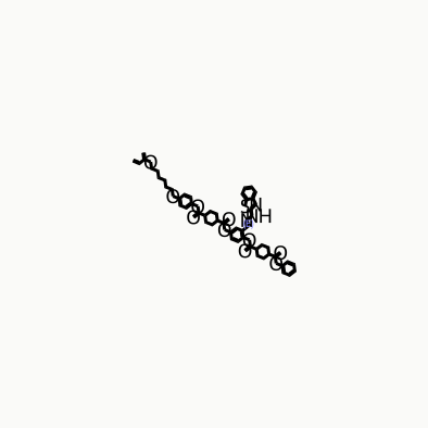 C=CC(=C)OCCCCCCOc1ccc(OC(=O)C2CCC(C(=O)Oc3ccc(OC(=O)C4CCC(C(=O)Oc5ccccc5)CC4)c(/C=N/Nc4nc5ccccc5s4)c3)CC2)cc1